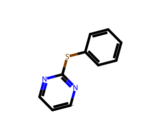 [c]1ccnc(Sc2ccccc2)n1